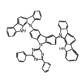 c1ccc(-c2nc(-c3ccccc3)nc(-n3c4ccc(-n5c6ccccc6c6ccc7c8ccccc8[nH]c7c65)cc4c4cc(-n5c6ccccc6c6ccc7c8ccccc8[nH]c7c65)ccc43)n2)cc1